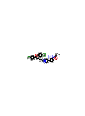 CC(C)C(=O)Nc1cccc(C2CCN(CCCCCC(Oc3ccc(Cl)cc3)c3ccc(F)cc3)CC2)c1